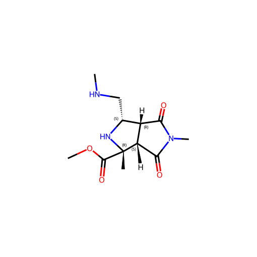 CNC[C@H]1N[C@@](C)(C(=O)OC)[C@H]2C(=O)N(C)C(=O)[C@@H]12